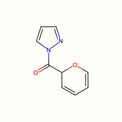 O=C(C1C=CC=CO1)n1cccn1